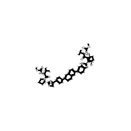 COC(=O)N[C@H](C(=O)C1[C@@H]2CC[C@@H](C2)[C@H]1c1nc2ccc(-c3ccc4cc(-c5ccc(-c6cnc([C@@H]7CCCN7C(=O)[C@@H](NC(=O)OC)C(C)C)[nH]6)cc5)ccc4c3)cc2[nH]1)C(C)C